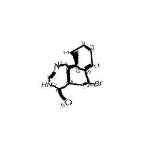 O=c1[nH]cnc2c1cc(Br)c1ccccc12